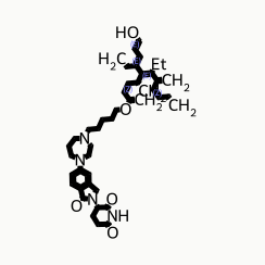 C=C/C=C\C(=C)/C(CC)=C(C(=C)/C=C\C(=C)OCCCCCN1CCCN(c2ccc3c(c2)CN(C2CCC(=O)NC2=O)C3=O)CC1)/C(C=C)=C/C=C/O